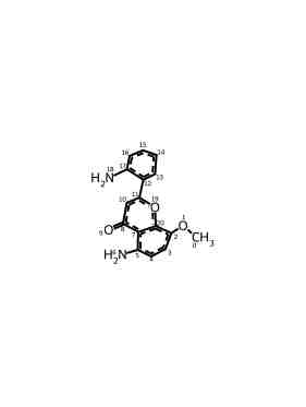 COc1ccc(N)c2c(=O)cc(-c3ccccc3N)oc12